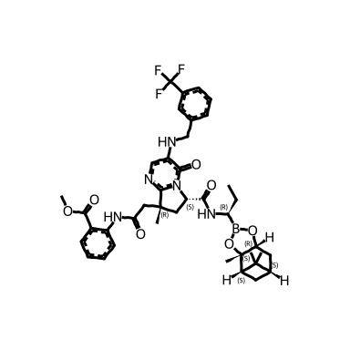 CC[C@H](NC(=O)[C@@H]1C[C@](C)(CC(=O)Nc2ccccc2C(=O)OC)c2ncc(NCc3cccc(C(F)(F)F)c3)c(=O)n21)B1O[C@@H]2C[C@@H]3C[C@@H](C3(C)C)[C@]2(C)O1